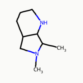 CC1C2NCCCC2CN1C